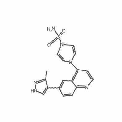 Cc1n[nH]cc1-c1ccc2nccc(N3C=CN(S(N)(=O)=O)C=C3)c2c1